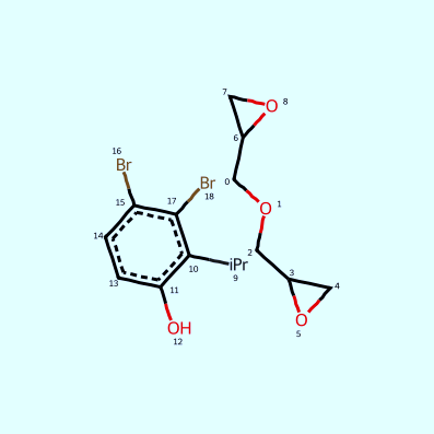 C(OCC1CO1)C1CO1.CC(C)c1c(O)ccc(Br)c1Br